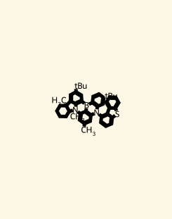 Cc1cc2c3c(c1)N1c4c(cc(C(C)(C)C)cc4C4(C)CCCCC14C)B3c1ccc(C(C)(C)C)cc1N2c1cccc2sc3ccccc3c12